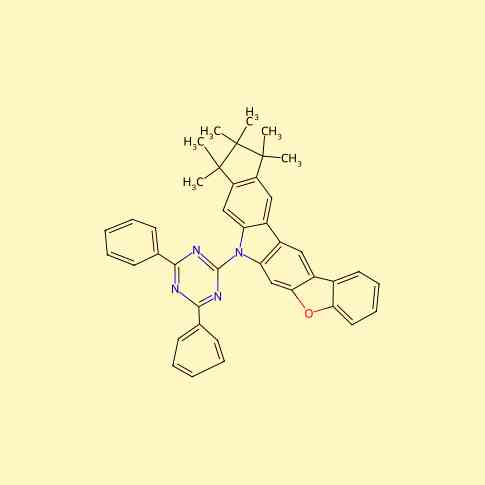 CC1(C)c2cc3c4cc5c(cc4n(-c4nc(-c6ccccc6)nc(-c6ccccc6)n4)c3cc2C(C)(C)C1(C)C)oc1ccccc15